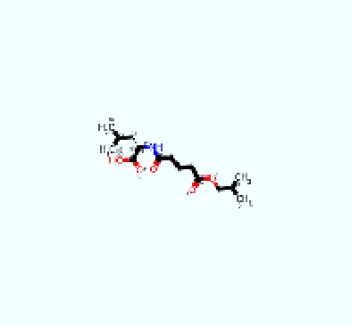 CC(C)COC(=O)CCCC(=O)N[C@@H](CC(C)C)C(=O)O